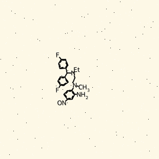 CCN(CCN(C)c1ccc(N=O)cc1N)C(c1ccc(F)cc1)c1ccc(F)cc1